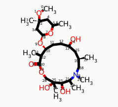 CO[C@@]1(C)CC(C)O[C@@H](O[C@H]2CCC(O)C[C@@H](C)CN(C)C(C)C(O)C(C)(O)COC(=O)C2C)C1